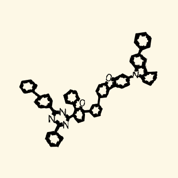 c1ccc(-c2ccc(-c3nc(-c4ccccc4)nc(-c4ccc(-c5cccc(-c6ccc7oc8cc(-n9c%10ccccc%10c%10cc(-c%11ccccc%11)ccc%109)ccc8c7c6)c5)c5oc6ccccc6c45)n3)cc2)cc1